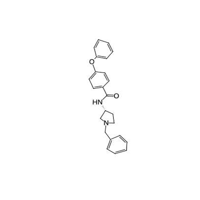 O=C(N[C@@H]1CCN(Cc2ccccc2)C1)c1ccc(Oc2ccccc2)cc1